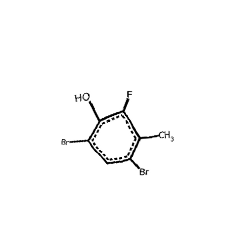 Cc1c(Br)cc(Br)c(O)c1F